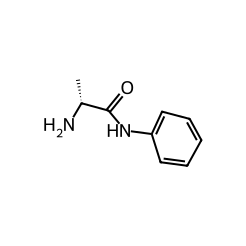 C[C@@H](N)C(=O)Nc1ccccc1